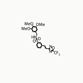 COc1cc(CNS(=O)(=O)c2cccc(C=Cc3noc(C(F)(F)F)n3)c2)cc(OC)c1OC